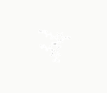 COCCOc1ccc(C#N)cc1C(=O)N=c1sc(C(C)(C)C)cn1CCC(F)(F)F